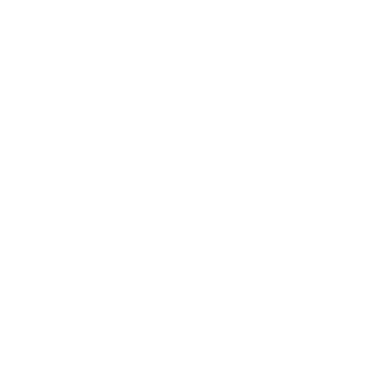 O=COc1cc2ccccc2c(C=O)c1O